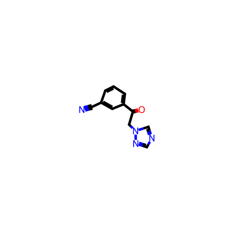 N#Cc1cccc(C(=O)Cn2cncn2)c1